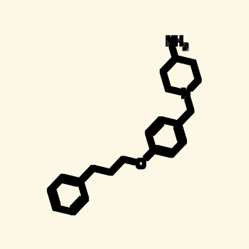 NC1CCN(Cc2ccc(OCCCc3ccccc3)cc2)CC1